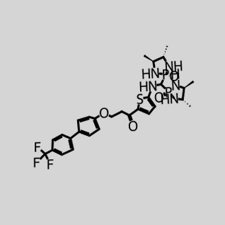 C[C@@H]1NP(=O)(C(Nc2ccc(C(=O)CCOc3ccc(-c4ccc(C(F)(F)F)cc4)cc3)s2)P2(=O)N[C@@H](C)[C@H](C)N2)N[C@H]1C